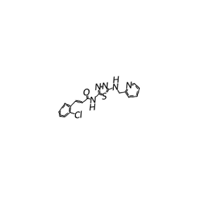 O=C(C=Cc1ccccc1Cl)Nc1nnc(NCc2ccccn2)s1